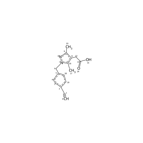 C#Cc1ccc(Cn2nc(C)c(CC(=O)O)c2C)cc1